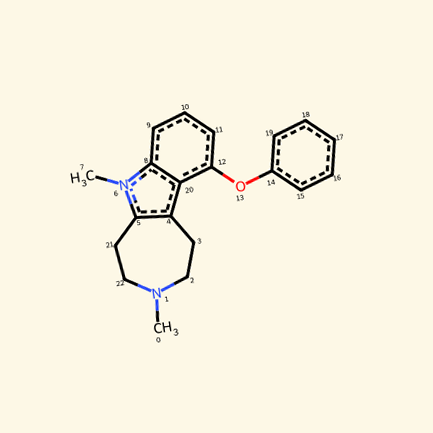 CN1CCc2c(n(C)c3cccc(Oc4ccccc4)c23)CC1